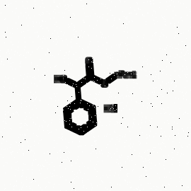 CCCCCOC(=O)C(O)c1ccccc1.Cl